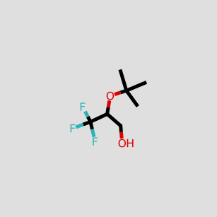 CC(C)(C)OC(CO)C(F)(F)F